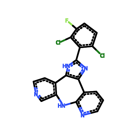 Fc1ccc(Cl)c(-c2nc3c([nH]2)-c2ccncc2Nc2ncccc2-3)c1Cl